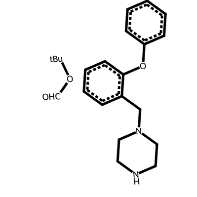 CC(C)(C)OC=O.c1ccc(Oc2ccccc2CN2CCNCC2)cc1